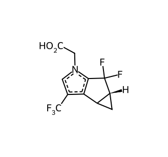 O=C(O)Cn1cc(C(F)(F)F)c2c1C(F)(F)[C@@H]1CC21